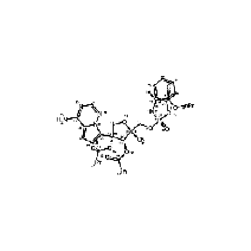 CCCOC(=O)[C@H](C)N[P@](=O)(OC[C@@]1(C#N)OC[C@](OC(=O)C(C)C)(c2ccc3c(N)ncnn23)[C@@H]1OC(=O)C(C)C)Oc1ccccc1